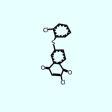 O=C1C=C(Cl)C(=O)c2ccc(Sc3ccccc3Cl)cc21